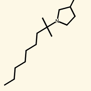 CCCCCCCC(C)(C)N1CCC(NC)C1